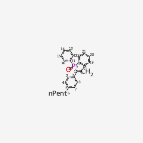 C=C(c1ccc(CCCCC)cc1)P(=O)(c1ccccc1)c1ccccc1